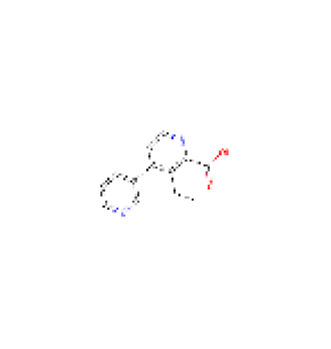 CCc1c(-c2cccnc2)ccnc1C(=O)O